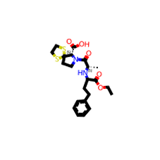 CCOC(=O)C(CCc1ccccc1)N[C@@H](C)C(=O)N1CCC2(SCCS2)[C@@H]1C(=O)O